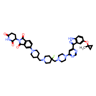 CC1(Oc2ccc3[nH]nc(-c4cc(N5CCN(CC6(F)CCN(CC7CCN(c8ccc9c(c8)C(=O)N(C8CCC(=O)NC8=O)C9=O)CC7)CC6)CC5)ncn4)c3c2)CC1